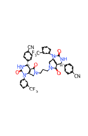 N#Cc1ccc([C@H]2NC(=O)N(c3cccc(C(F)(F)F)c3)C3=C2C(=O)N(CCCN2CC4=C(C2=O)[C@@H](c2ccc(C#N)cc2)NC(=O)N4c2cccc(C(F)(F)F)c2)C3)cc1